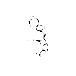 O=C(O)C1=CSC2C(=Cc3cn4c(n3)COCC4)C(=O)N12.[NaH]